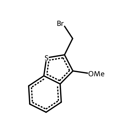 COc1c(CBr)sc2ccccc12